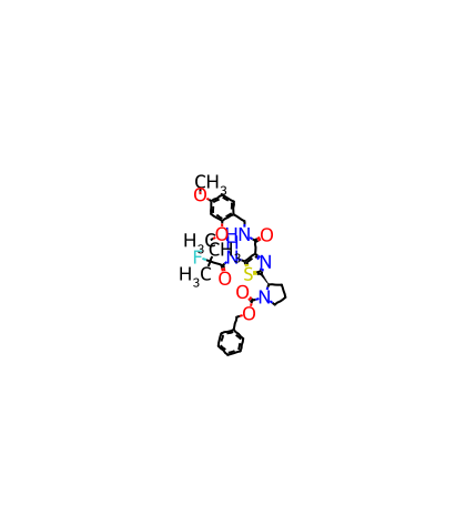 COc1ccc(CNC(=O)c2nc([C@H]3CCCN3C(=O)OCc3ccccc3)sc2NC(=O)C(C)(C)F)c(OC)c1